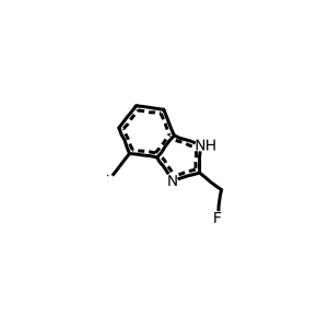 [CH2]c1cccc2[nH]c(CF)nc12